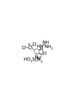 CCc1cnnc2c1C(=NNC(=N)N)CC(c1cc(Cl)sc1Cl)C2.CS(=O)(=O)O